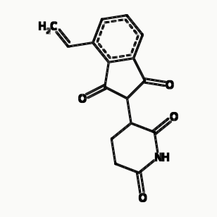 C=Cc1cccc2c1C(=O)C(C1CCC(=O)NC1=O)C2=O